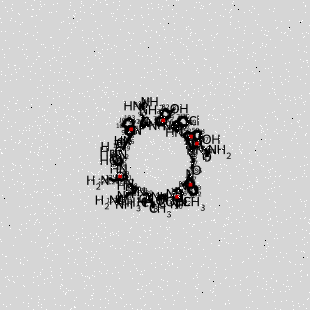 CC[C@H](C)C1NC(=O)C([C@@H](C)O)NC(=O)C(Cc2cncn2C)NC(=O)C(Cc2ccccc2)NC(=O)CSCC(C(=O)NCC(N)=O)NC(=O)C(Cc2ccc(O)cc2)NC(=O)C(Cc2ccc(Cl)cc2)NC(=O)C(Cc2ccc(O)cc2)NC(=O)C(CCCNC(=N)N)NC(=O)C(Cc2ccccc2)NC(=O)C(C)(C)NC(=O)C(CO)NC(=O)C(CCCCN)NC(=O)C(CCCNC(=N)N)NC1=O